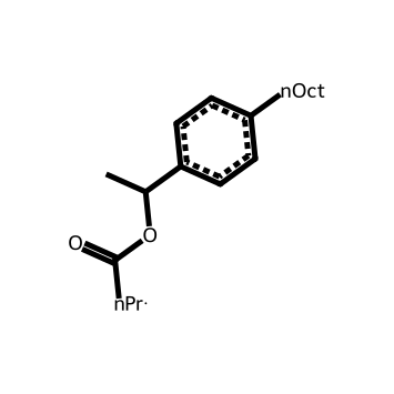 CC[CH]C(=O)OC(C)c1ccc(CCCCCCCC)cc1